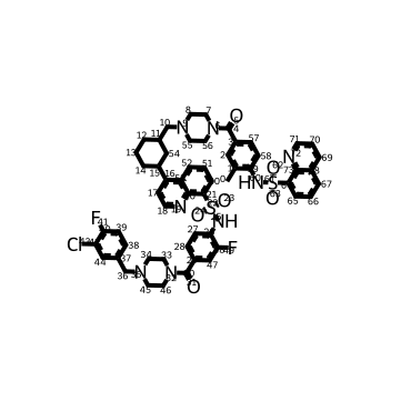 Cc1cc(C(=O)N2CCN(CC3CCCC(c4ccnc5c(S(=O)(=O)Nc6ccc(C(=O)N7CCN(Cc8ccc(F)c(Cl)c8)CC7)cc6F)cccc45)C3)CC2)ccc1NS(=O)(=O)c1cccc2cccnc12